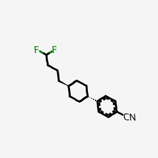 N#Cc1ccc([C@H]2CC[C@H](CCCC(F)F)CC2)cc1